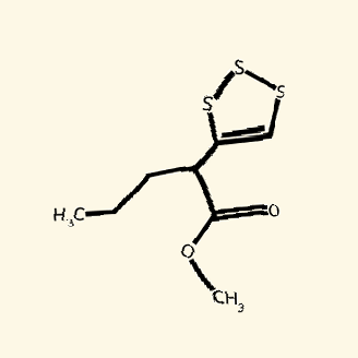 CCCC(C(=O)OC)C1=CSSS1